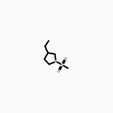 CCC1CCN(S(C)(=O)=O)C1